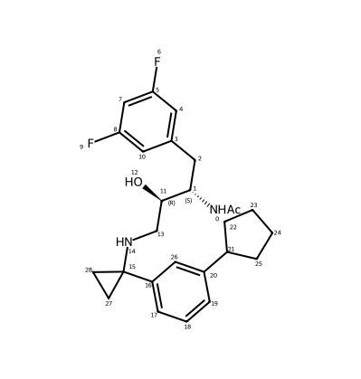 CC(=O)N[C@@H](Cc1cc(F)cc(F)c1)[C@H](O)CNC1(c2cccc(C3CCCC3)c2)CC1